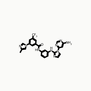 Cc1cn(-c2cc(C(=O)Nc3cccc(Nc4nccn4-c4cc(N)ncn4)c3)cc(C(F)(F)F)c2)cn1